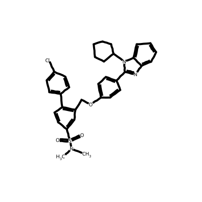 CN(C)S(=O)(=O)c1ccc(-c2ccc(Cl)cc2)c(COc2ccc(-c3nc4ccccc4n3C3CCCCC3)cc2)c1